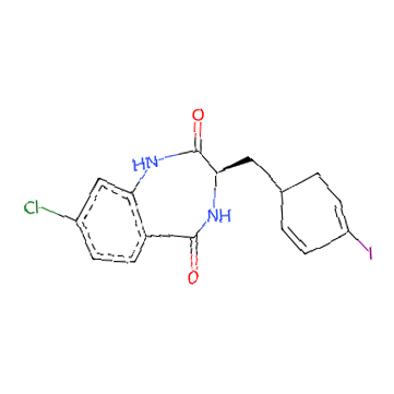 O=C1N[C@H](CC2C=CC(I)=CC2)C(=O)Nc2cc(Cl)ccc21